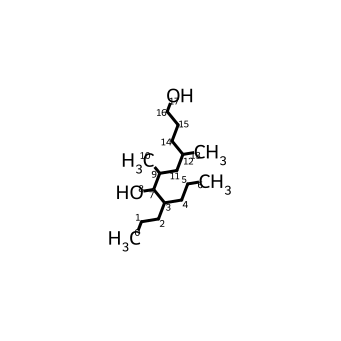 CCCC(CCC)C(O)C(C)CC(C)CCCO